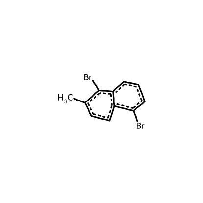 Cc1ccc2c(Br)cccc2c1Br